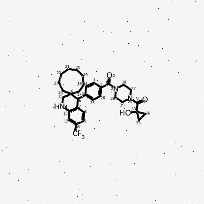 O=C(c1ccc(C2c3ccc(C(F)(F)F)cc3NCC23CCCCCCCC3)cc1)N1CCN(C(=O)C2(O)CC2)CC1